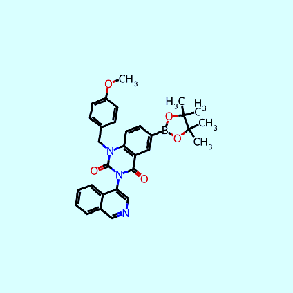 COc1ccc(Cn2c(=O)n(-c3cncc4ccccc34)c(=O)c3cc(B4OC(C)(C)C(C)(C)O4)ccc32)cc1